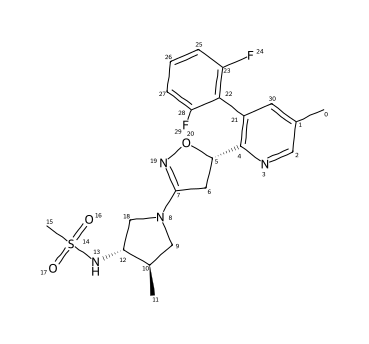 Cc1cnc([C@@H]2CC(N3C[C@@H](C)[C@H](NS(C)(=O)=O)C3)=NO2)c(-c2c(F)cccc2F)c1